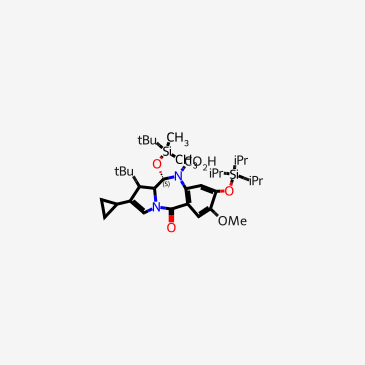 COc1cc2c(cc1O[Si](C(C)C)(C(C)C)C(C)C)N(C(=O)O)[C@@H](O[Si](C)(C)C(C)(C)C)C1C(C(C)(C)C)C(C3CC3)=CN1C2=O